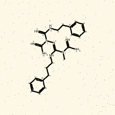 CN(C(=N)N)C(=NN(C(=N)N)C(=N)NCCc1ccccc1)NCCCc1ccccc1